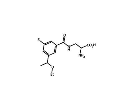 CCOC(C)c1cc(F)cc(C(=O)NCC(N)C(=O)O)c1